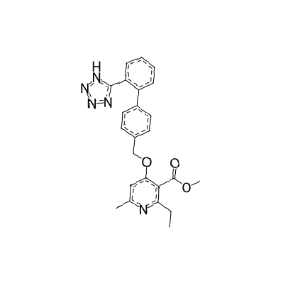 CCc1nc(C)cc(OCc2ccc(-c3ccccc3-c3nnn[nH]3)cc2)c1C(=O)OC